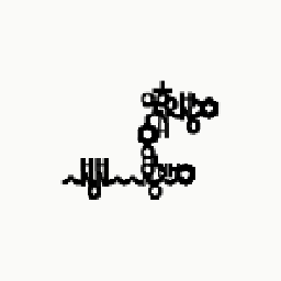 CCCNC(=O)NCCCCCNC(=O)[C@H](Cc1ccccc1)NC(=O)COc1ccc(C[C@H](NC(=O)CNC(=O)c2ccccc2I)C(=O)OC(C)(C)C)cc1